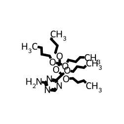 CCCCOC(OCCCC)(OCCCC)OC(OCCCC)(OCCCC)c1ncnc(N)n1